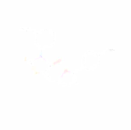 CSc1ccc(-c2ccc(C=C3SC(=S)N(C4CCCC(C(=O)O)C4)C3=O)o2)cc1